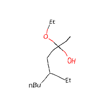 CCCCC(CC)CC(C)(O)OCC